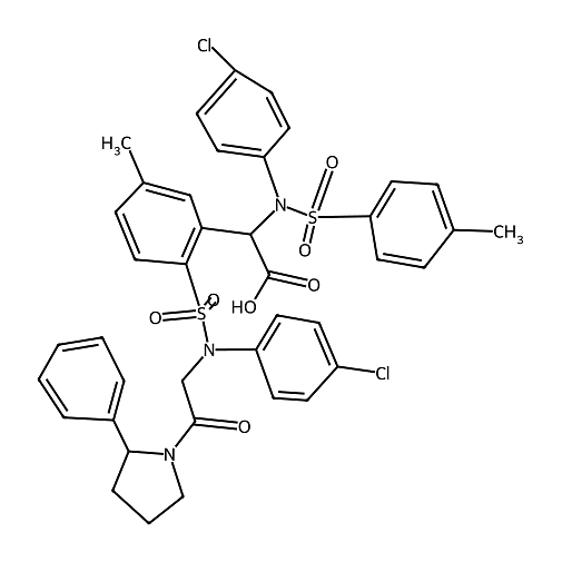 Cc1ccc(S(=O)(=O)N(c2ccc(Cl)cc2)C(C(=O)O)c2cc(C)ccc2S(=O)(=O)N(CC(=O)N2CCCC2c2ccccc2)c2ccc(Cl)cc2)cc1